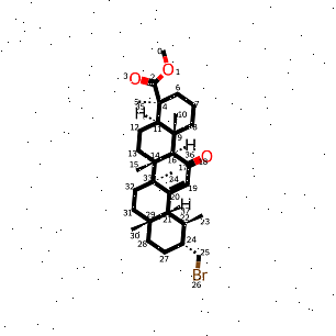 COC(=O)[C@@]1(C)CCC[C@@]2(C)[C@H]1CC[C@]1(C)[C@@H]2C(=O)C=C2[C@@H]3[C@@H](C)[C@H](CBr)CC[C@]3(C)CC[C@]21C